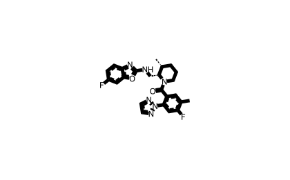 Cc1cc(C(=O)N2CCC[C@@H](C)[C@H]2CNc2nc3ccc(F)cc3o2)c(-n2nccn2)cc1F